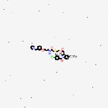 COc1ccc2c(c1)c(CC(=O)OCCSCC(=O)NCCCOc1cccc(CN3CCCC3)c1)c(C)n2C(=O)c1ccc(Cl)cc1